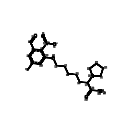 Cc1cc(C=O)c([N+](=O)[O-])c(OCCCCCC(C(N)=O)N2CCCC2)c1